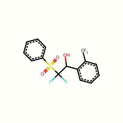 O=S(=O)(c1ccccc1)C(F)(F)C(O)c1ccccc1C(F)(F)F